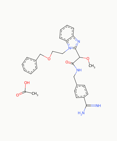 CC(=O)O.COC(C(=O)NCc1ccc(C(=N)N)cc1)c1nc2ccccc2n1CCOCc1ccccc1